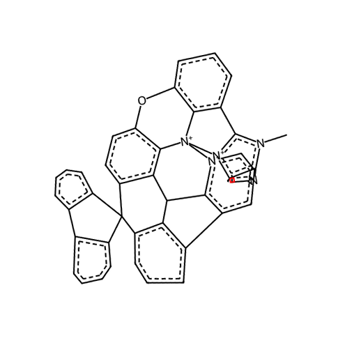 Cn1c2[n+](c3ccncc31)[N+]13c4c(cccc4-2)Oc2ccc4c(c21)C1c2c(cccc2C42c4ccccc4-c4ccccc42)-c2ccc[n+]3c21